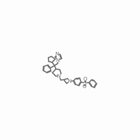 O=S(=O)(c1ccccc1)c1ccc(N2CC(CN3CCC(C(Cn4ccnc4)(c4ccccc4)C4CCCC4)CC3)C2)cc1